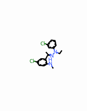 CCN(/N=C(\C)c1cc(Cl)ccc1NC)c1cccc(Cl)c1